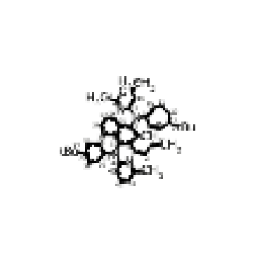 C=C/C=C\c1c(C)c(N(C2=CCCC(C(C)(C)C)C=C2)/C(=C/C=C)N=C(C)C)c2ccccc2c1N(c1ccc(C(C)(C)C)cc1)c1cccc(C)n1